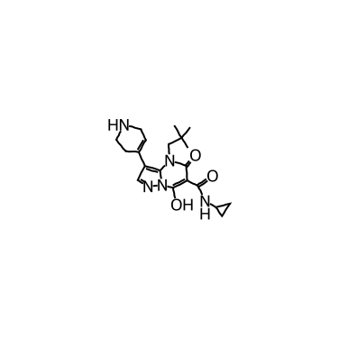 CC(C)(C)Cn1c(=O)c(C(=O)NC2CC2)c(O)n2ncc(C3=CCNCC3)c12